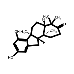 CC1(C)C(=O)CC[C@]2(C)[C@@H]1CC[C@]1(C)c3c(O)cc(O)cc3C[C@@H]21